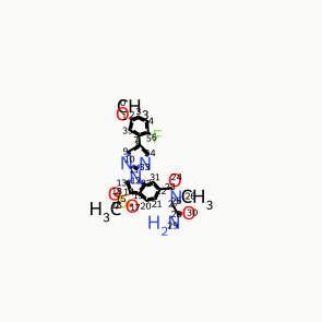 COc1ccc(F)c(-c2cnc(-n3cc(S(C)(=O)=O)c4ccc(C(=O)N(C)CC(N)=O)cc43)nc2)c1